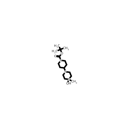 CC(C)(C)OC(=O)N1CCC(N2CC[P](C)(O)CC2)CC1